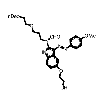 CCCCCCCCCCCCOCCCN(C=O)c1[nH]c2ccc(OCCO)cc2c1N=Nc1ccc(OC)cc1